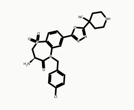 N#CC1(c2nnc(-c3ccc4c(c3)N(Cc3ccc(Cl)cc3)C(=O)[C@@H](N)CS4(=O)=O)o2)CCNCC1